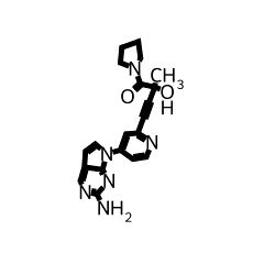 CC(O)(C#Cc1cc(-n2ccc3cnc(N)nc32)ccn1)C(=O)N1CCCC1